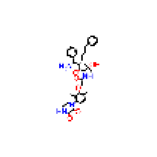 Cc1ccc(N2CCNC(=O)C2=O)c(C)c1OCC(=O)N[C@H](C(=O)[C@@H](CCCCc1ccccc1)C(N)c1ccccc1)C(C)(C)O